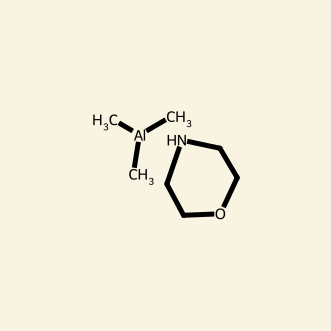 C1COCCN1.[CH3][Al]([CH3])[CH3]